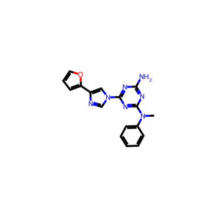 CN(c1ccccc1)c1nc(N)nc(-n2cnc(-c3ccco3)c2)n1